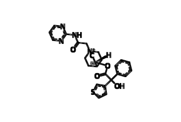 O=C(C[N+]12CCC(CC1)[C@@H](OC(=O)C(O)(c1ccccc1)c1ccsc1)C2)Nc1ncccn1